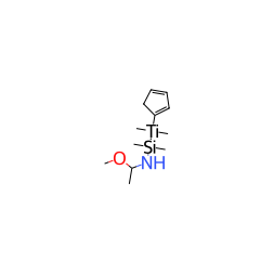 COC(C)N[Si](C)(C)[Ti]([CH3])([CH3])[C]1=CC=CC1